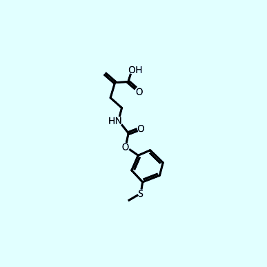 C=C(CCNC(=O)Oc1cccc(SC)c1)C(=O)O